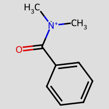 C[N+](C)C(=O)c1ccccc1